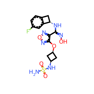 NS(=O)(=O)N[C@H]1C[C@@H](Oc2nonc2/C(=N\O)N[C@H]2Cc3ccc(F)cc32)C1